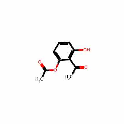 CC(=O)Oc1cccc(O)c1C(C)=O